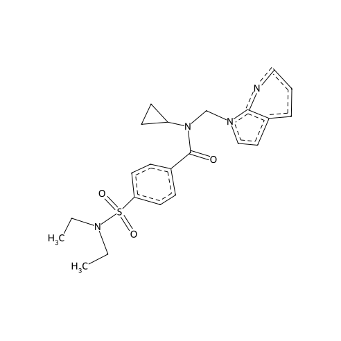 CCN(CC)S(=O)(=O)c1ccc(C(=O)N(Cn2ccc3cccnc32)C2CC2)cc1